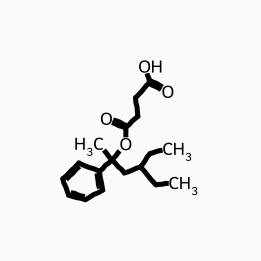 CCC(CC)CC(C)(OC(=O)CCC(=O)O)c1ccccc1